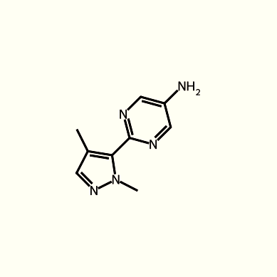 Cc1cnn(C)c1-c1ncc(N)cn1